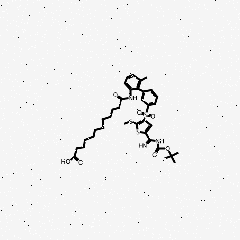 CSc1sc(C(=N)NC(=O)OC(C)(C)C)cc1S(=O)(=O)c1cccc(-c2c(C)cccc2NC(=O)CCCCCCCCCCC(=O)O)c1